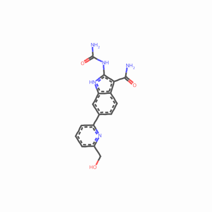 NC(=O)Nc1[nH]c2cc(-c3cccc(CO)n3)ccc2c1C(N)=O